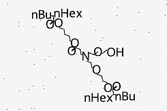 CCCCCCC(CCCC)C(=O)OCCCCCOC(=O)CCN(CCCOCCCCOC(=O)C(CCCC)CCCCCC)CCOCCO